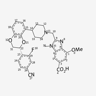 COc1cc(C(=O)O)cc2c1nc(CN1CCC(c3cccc4c3O[C@H](c3ccc(C#N)cc3F)CO4)CC1)n2C